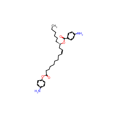 CCCCCC[C@H](C/C=C\CCCCCCCC(=O)Oc1ccc(N)cc1)OC(=O)c1ccc(N)cc1